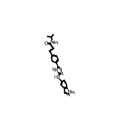 CC(C)NC(=O)CCC1=CC=C(c2nnc(Nc3ccc4[nH]ncc4c3)[nH]2)CC1